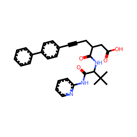 CC(C)(C)C(NC(=O)C(CC#Cc1ccc(-c2ccccc2)cc1)CC(=O)O)C(=O)Nc1ccccn1